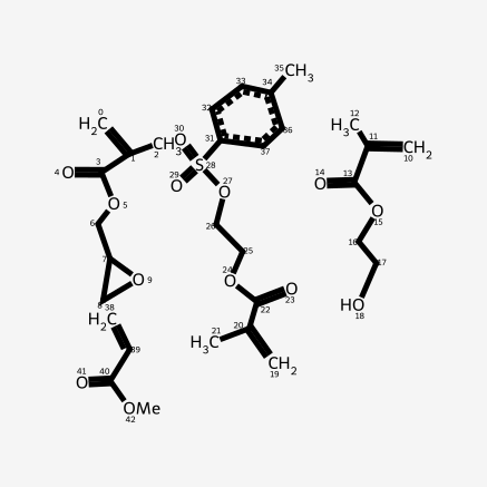 C=C(C)C(=O)OCC1CO1.C=C(C)C(=O)OCCO.C=C(C)C(=O)OCCOS(=O)(=O)c1ccc(C)cc1.C=CC(=O)OC